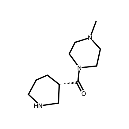 CN1CCN(C(=O)[C@H]2CCCNC2)CC1